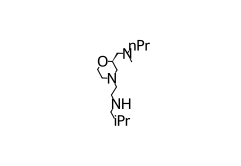 CCCN(C)C[C@H]1CN(CCNCC(C)C)CCO1